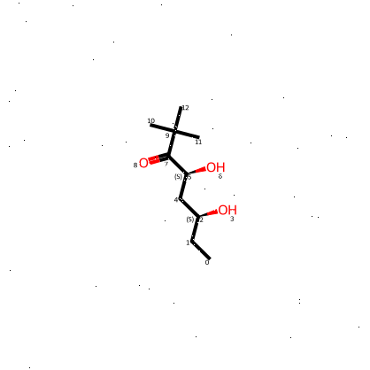 CC[C@H](O)C[C@H](O)C(=O)C(C)(C)C